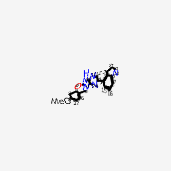 COc1ccc(Cn2c(=O)[nH]c3ncc(-c4cccc5ncccc45)nc32)cc1